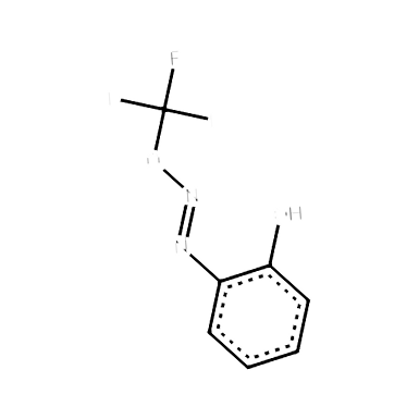 Oc1ccccc1N=NOC(F)(F)F